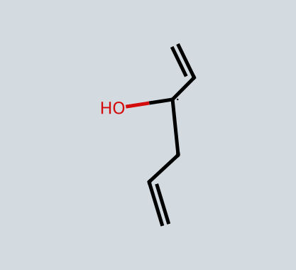 C=CC[C](O)C=C